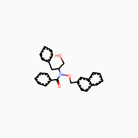 O=C(c1ccccc1)N(OCc1ccc2ccccc2c1)C(CO)Cc1ccccc1